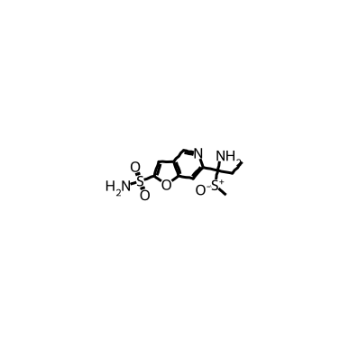 CCC(N)(c1cc2oc(S(N)(=O)=O)cc2cn1)[S+](C)[O-]